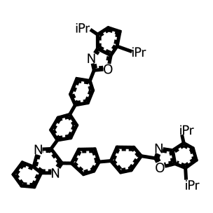 CC(C)c1ccc(C(C)C)c2oc(-c3ccc(-c4ccc(-c5nc6ccccc6nc5-c5ccc(-c6ccc(-c7nc8c(C(C)C)ccc(C(C)C)c8o7)cc6)cc5)cc4)cc3)nc12